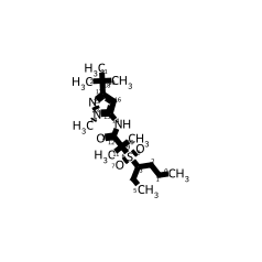 CCCC(CC)S(=O)(=O)C(C)(C)C(=O)Nc1cc(C(C)(C)C)nn1C